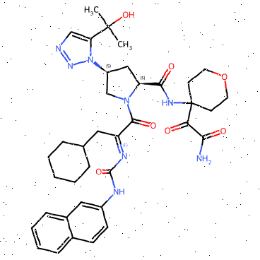 CC(C)(O)c1cnnn1[C@H]1C[C@@H](C(=O)NC2(C(=O)C(N)=O)CCOCC2)N(C(=O)/C(CC2CCCCC2)=N/C(=O)Nc2ccc3ccccc3c2)C1